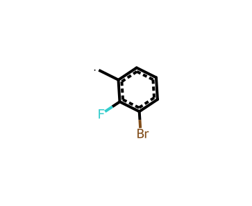 [CH2]c1cccc(Br)c1F